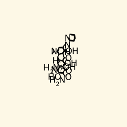 CN(C)c1cc(CNc2ccccn2)c(O)c2c1C[C@H]1C[C@@]3(N)[C@@H](N(C)C)C(O)=C(C(N)=O)C(=O)[C@@]3(O)C(O)=C1C2=O